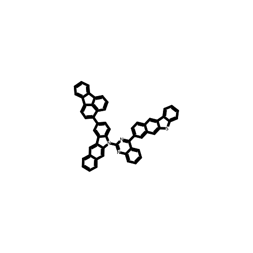 c1ccc2c(c1)-c1cccc3c(-c4ccc5c(c4)c4cc6ccccc6cc4n5-c4nc(-c5ccc6cc7c(cc6c5)sc5ccccc57)c5ccccc5n4)ccc-2c13